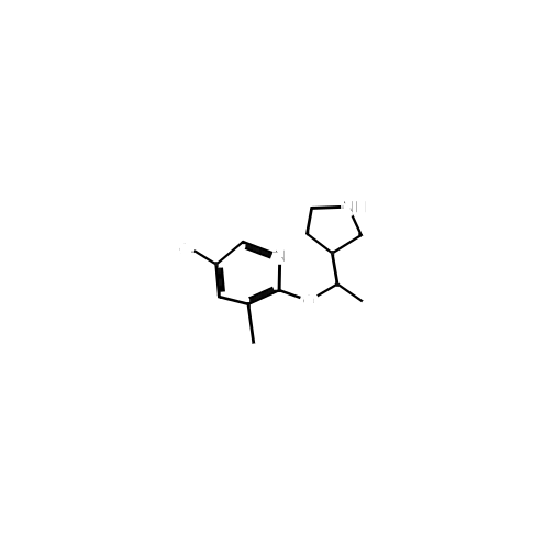 Cc1cc(Cl)cnc1OC(C)C1CCNC1